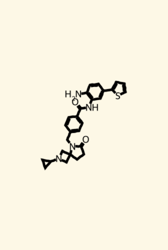 Nc1ccc(-c2cccs2)cc1NC(=O)c1ccc(CN2C(=O)CCC23CN(C2CC2)C3)cc1